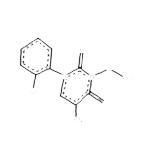 N#Cc1cn(-c2ccccc2C(F)(F)F)c(=O)n(SC(Cl)(Cl)Cl)c1=O